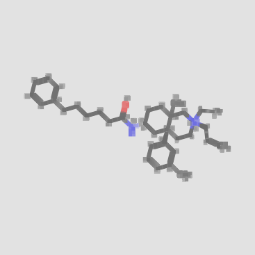 C=CC[N@@+]1(CC(C)C)CC[C@]2(c3cccc(OC(C)=O)c3)C[C@H](NC(=O)CCCCCc3ccccc3)CCC2(OC(C)=O)C1